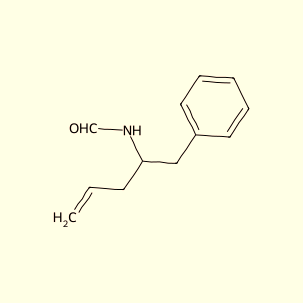 C=CCC(Cc1ccccc1)NC=O